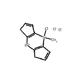 C[Si]1(Cl)C2=[C](CC=C2)[Zr+2][C]2=C1C=CC2.[Cl-].[Cl-]